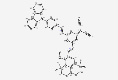 COc1c(/C=C/C2=CC(=C(C#N)C#N)C=C(/C=C/c3ccc(-n4c5ccccc5c5ccccc54)cc3)O2)cc2c3c1C(C)(C)CCN3CCC2(C)C